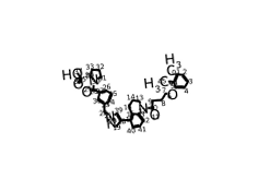 Cc1cccc(OCCCC(=O)N2CCCc3c(-c4cnn(Cc5cccc(C(=O)N6CCC[C@H]6C(=O)O)c5)c4)cccc32)c1C